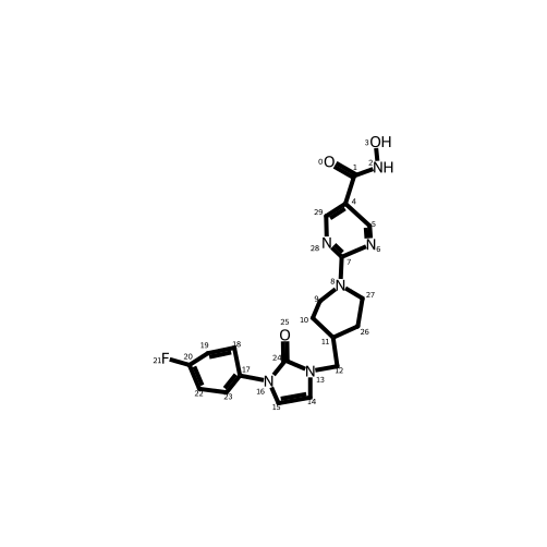 O=C(NO)c1cnc(N2CCC(Cn3ccn(-c4ccc(F)cc4)c3=O)CC2)nc1